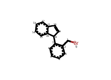 BrCc1ccccc1[C]1C=Cc2ccccc21